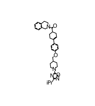 CC(C)c1noc(N2CCC(COc3ccc(C4=CCC(C(=O)N5CCc6ccccc6C5)CC4)cc3)CC2)n1